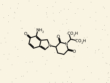 NC1=C2CN(C3CCC(=O)N(C(C(=O)O)C(=O)O)C3=O)C=C2C=CC1=O